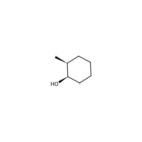 C[C@H]1CCC[CH][C@H]1O